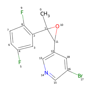 CC1(c2cc(F)ccc2F)OC1c1cncc(Br)c1